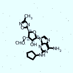 Cc1noc([C@H]2O[C@@H](n3cnc4c(N)nc(NC5CCCC5)nc43)[C@H](O)[C@@H]2OC=O)n1